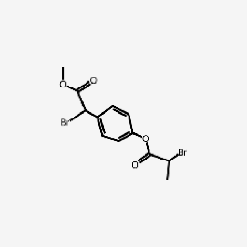 COC(=O)C(Br)c1ccc(OC(=O)C(C)Br)cc1